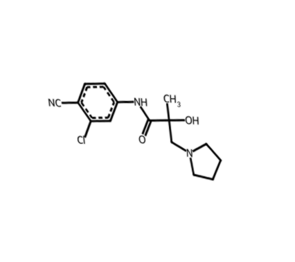 CC(O)(CN1CCCC1)C(=O)Nc1ccc(C#N)c(Cl)c1